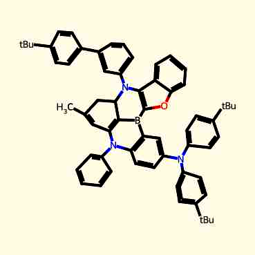 CC1=CC2=C3B(c4cc(N(C5=C=C=C(C(C)(C)C)C=C5)c5ccc(C(C)(C)C)cc5)ccc4N2c2ccccc2)c2oc4ccccc4c2N(c2cccc(-c4ccc(C(C)(C)C)cc4)c2)C3C1